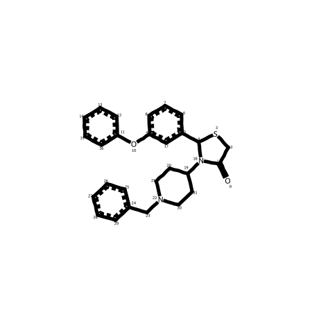 O=C1CSC(c2cccc(Oc3ccccc3)c2)N1C1CCN(Cc2ccccc2)CC1